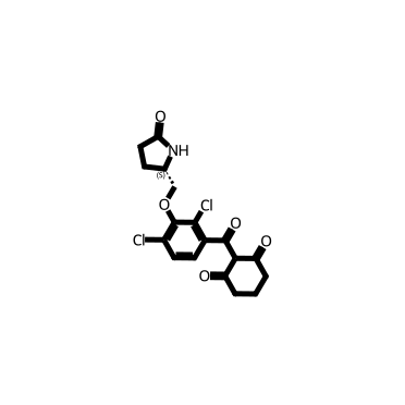 O=C1CC[C@@H](COc2c(Cl)ccc(C(=O)C3C(=O)CCCC3=O)c2Cl)N1